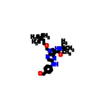 CC(C)(C)NC(=O)c1cn(COCC[Si](C)(C)C)c2ncc(Nc3ccc(C=O)cc3)nc12